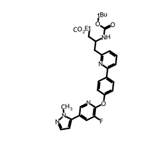 CCOC(=O)CC(Cc1cccc(-c2ccc(Oc3ncc(-c4ccnn4C)cc3F)cc2)n1)NC(=O)OC(C)(C)C